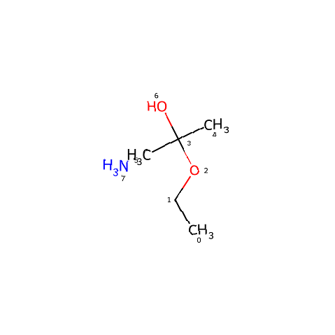 CCOC(C)(C)O.N